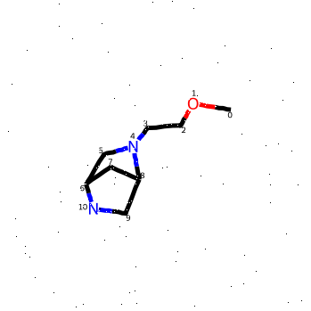 COCCN1CC2CC1C[N]2